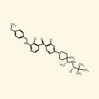 COc1ccc(CNc2nccc(C(=O)c3ncc(N4CCC(C)([C@@H](C)N[S@+]([O-])C(C)(C)C)CC4)nc3Cl)c2Cl)cc1